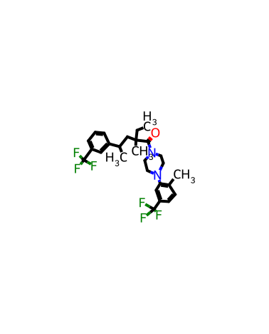 CCC(C)(CC(C)c1cccc(C(F)(F)F)c1)C(=O)N1CCN(c2cc(C(F)(F)F)ccc2C)CC1